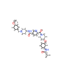 O=C(NC1CCN(Cc2ccc(OC(F)(F)F)cc2)CC1)c1ccc(C(=O)N2CCC(Oc3cccc(NC(=O)C4CC4)c3)CC2)nc1